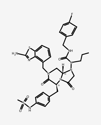 CCCN(C(=O)NCc1ccc(F)cc1)N1CC(=O)N2[C@@H](Cc3ccc(NS(C)(=O)=O)cc3)C(=O)N(Cc3cccc4sc(N)nc34)C[C@@H]21